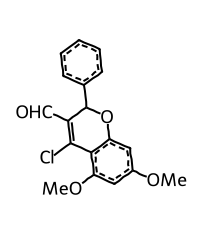 COc1cc(OC)c2c(c1)OC(c1ccccc1)C(C=O)=C2Cl